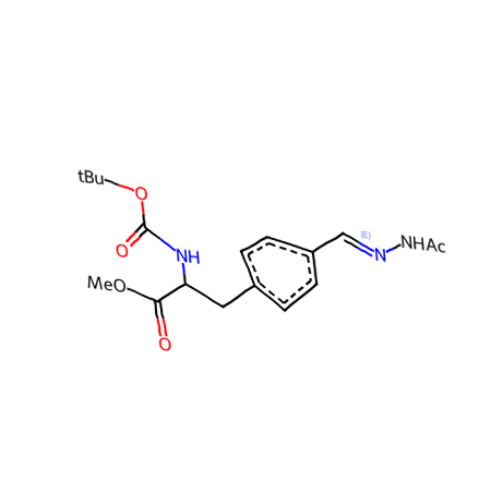 COC(=O)C(Cc1ccc(/C=N/NC(C)=O)cc1)NC(=O)OC(C)(C)C